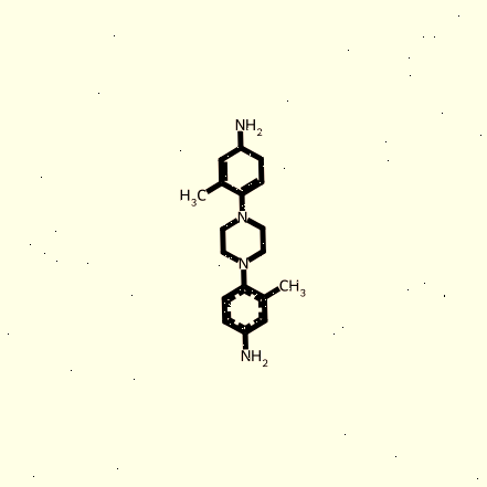 CC1=CC(N)CC=C1N1CCN(c2ccc(N)cc2C)CC1